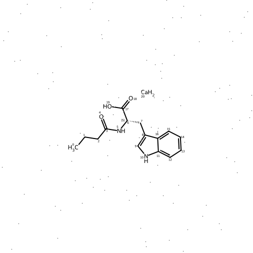 CCCC(=O)N[C@@H](Cc1c[nH]c2ccccc12)C(=O)O.[CaH2]